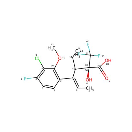 CC=C(c1ccc(F)c(Cl)c1OC)C(CC)[C@@](O)(C(=O)O)C(F)(F)F